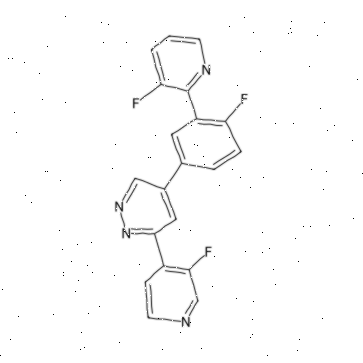 Fc1cnccc1-c1cc(-c2ccc(F)c(-c3ncccc3F)c2)cnn1